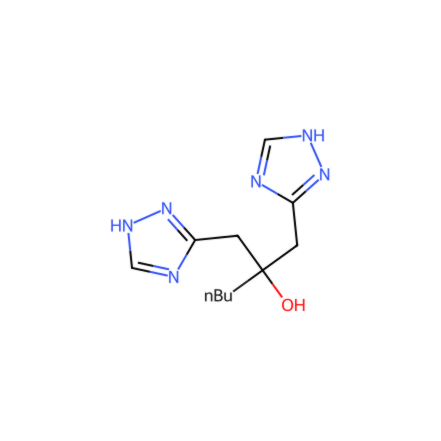 CCCCC(O)(Cc1nc[nH]n1)Cc1nc[nH]n1